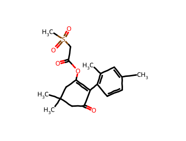 Cc1ccc(C2=C(OC(=O)CS(C)(=O)=O)CC(C)(C)CC2=O)c(C)c1